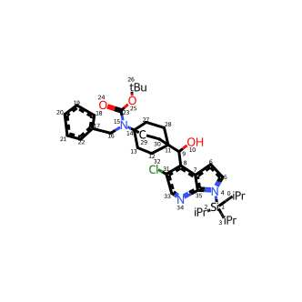 CC(C)[Si](C(C)C)(C(C)C)n1ccc2c(C(O)C34CCC(N(Cc5ccccc5)C(=O)OC(C)(C)C)(CC3)CC4)c(Cl)cnc21